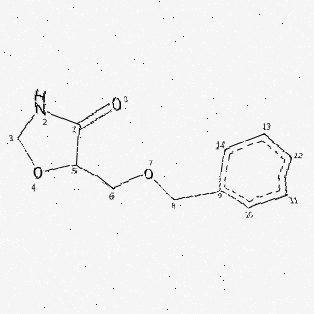 O=C1NCOC1COCc1ccccc1